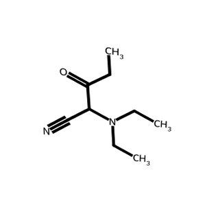 CCC(=O)C(C#N)N(CC)CC